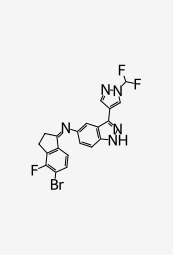 Fc1c(Br)ccc2c1CC/C2=N/c1ccc2[nH]nc(-c3cnn(C(F)F)c3)c2c1